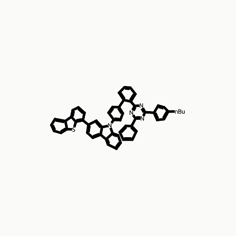 CCCCc1ccc(-c2nc(-c3ccccc3)nc(-c3ccccc3-c3ccc(-n4c5ccccc5c5ccc(-c6cccc7c6sc6ccccc67)cc54)cc3)n2)cc1